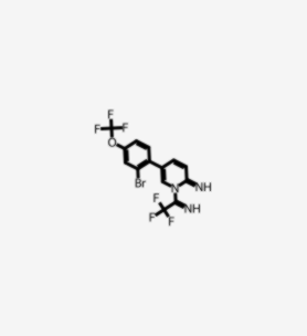 N=C(n1cc(-c2ccc(OC(F)(F)F)cc2Br)ccc1=N)C(F)(F)F